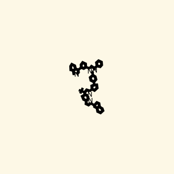 CC(C)(C)c1cc(-c2cccc(-c3ccc(-c4nc(-c5ccccc5)cc(-c5cccc(-c6cncc7ccccc67)c5)n4)cc3)c2)nc2c1ccc1ccc(-c3ccc4ccccc4c3)nc12